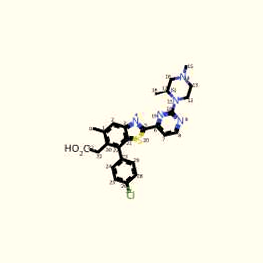 Cc1cc2nc(-c3ccnc(N4CCN(C)C[C@@H]4C)n3)sc2c(-c2ccc(Cl)cc2)c1CC(=O)O